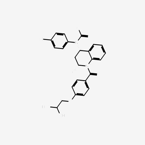 CC(=O)N(c1ccc(Cl)cc1)[C@H]1C[C@@H](C)N(C(=O)c2ccc(OCC(C)C)cc2)c2ccccc21